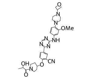 COc1cc(Nc2ncnc(-c3ccc(OC4CCN(C(=O)C(C)O)CC4)c(C#N)c3)n2)ccc1N1CCN(C2COC2)CC1